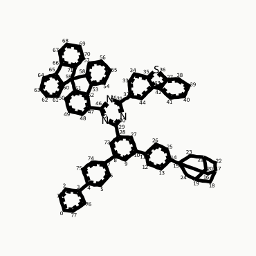 c1ccc(-c2ccc(-c3cc(-c4ccc(C56CC7CC(CC(C7)C5)C6)cc4)cc(-c4nc(-c5ccc6sc7ccccc7c6c5)nc(-c5cccc6c5-c5ccccc5C65c6ccccc6-c6ccccc65)n4)c3)cc2)cc1